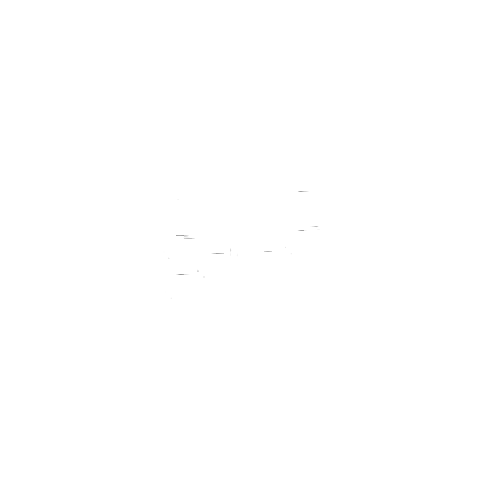 CCC(C)NCc1cc(N2CC(N(C)c3ccccc3)C2)nc(N)n1